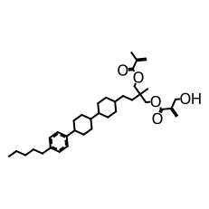 C=C(C)C(=O)OCC(C)(CCC1CCC(C2CCC(c3ccc(CCCCC)cc3)CC2)CC1)COC(=O)C(=C)CO